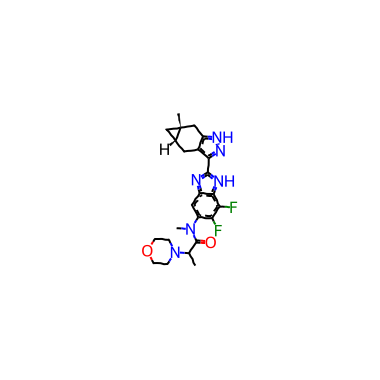 CC(C(=O)N(C)c1cc2nc(-c3n[nH]c4c3C[C@@H]3C[C@]3(C)C4)[nH]c2c(F)c1F)N1CCOCC1